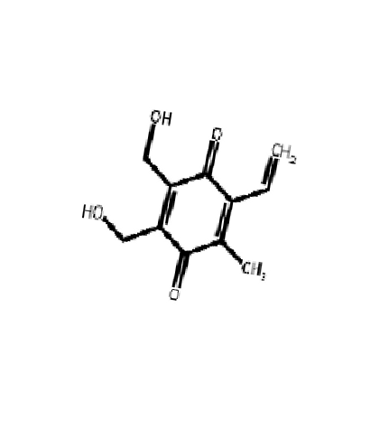 C=CC1=C(C)C(=O)C(CO)=C(CO)C1=O